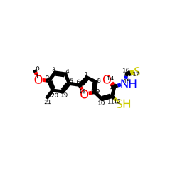 COc1ccc(-c2ccc(/C=C(/S)C(=O)NC=S)o2)cc1C